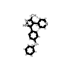 Cc1n[nH]c(-c2ccc(Oc3ccccc3)cc2)c1-c1ccncc1